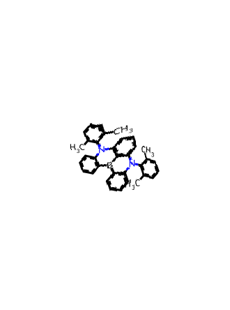 Cc1cccc(C)c1N1c2ccccc2B2c3ccccc3N(c3c(C)cccc3C)c3cccc1c32